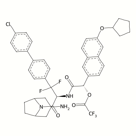 NC1CC2CCC(C1)N2C(=O)[C@H](NC(=O)[C@@H](OC(=O)C(F)(F)F)c1ccc2cc(OC3CCCC3)ccc2c1)C(F)(F)c1ccc(-c2ccc(Cl)cc2)cc1